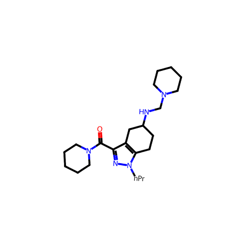 CCCn1nc(C(=O)N2CCCCC2)c2c1CCC(NCN1CCCCC1)C2